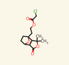 CC1(C)OC(=O)C2C3CCC(CCOC(=O)CCl)(O3)C21